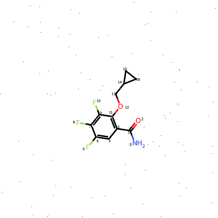 NC(=O)c1cc(F)c(F)c(F)c1OCC1CC1